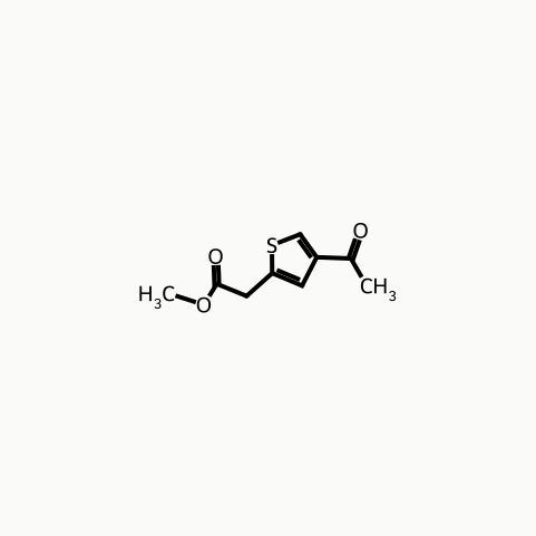 COC(=O)Cc1cc(C(C)=O)cs1